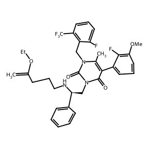 C=C(CCCN[C@@H](Cn1c(=O)c(-c2cccc(OC)c2F)c(C)n(Cc2c(F)cccc2C(F)(F)F)c1=O)c1ccccc1)OCC